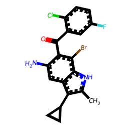 Cc1[nH]c2c(Br)c(C(=O)c3cc(F)ccc3Cl)c(N)cc2c1C1CC1